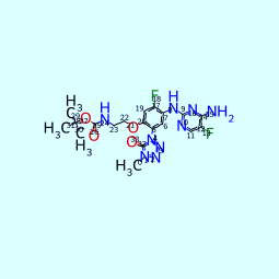 Cn1nnn(-c2cc(Nc3ncc(F)c(N)n3)c(F)cc2OCCNC(=O)OC(C)(C)C)c1=O